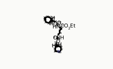 CCOC(=O)[C@H](CCCCNC(=O)OC[C@@H]1[C@@H]2CC/C=C\CC[C@@H]21)NC(=O)OCC1[C@H]2CCC#CCC[C@@H]12